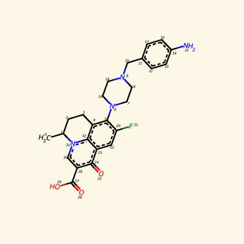 CC1CCc2c(N3CCN(Cc4ccc(N)cc4)CC3)c(F)cc3c(=O)c(C(=O)O)cn1c23